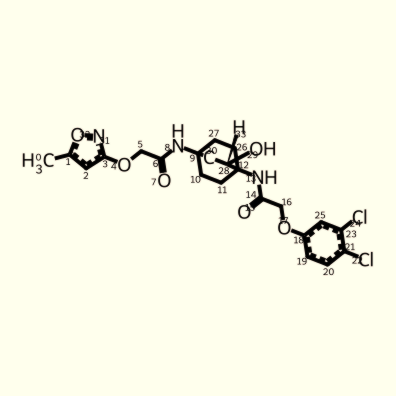 Cc1cc(OCC(=O)NC23CCC(NC(=O)COc4ccc(Cl)c(Cl)c4)(CC2)[C@@H](O)C3)no1